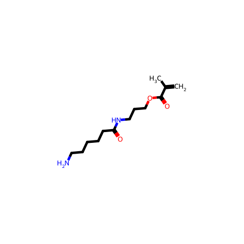 C=C(C)C(=O)OCCCNC(=O)CCCCCN